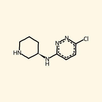 Clc1ccc(N[C@@H]2CCCNC2)nn1